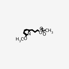 COc1cccc(CCCOS(C)(=O)=O)n1